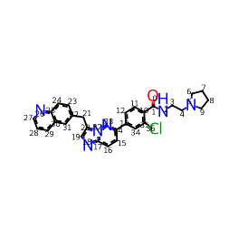 O=C(NCCN1CCCC1)c1ccc(-c2ccc3ncc(Cc4ccc5ncccc5c4)n3n2)cc1Cl